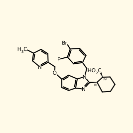 Cc1ccc(COc2ccc3nc([C@@H]4CCCC[C@@H]4C(=O)O)n(Cc4ccc(Br)c(F)c4)c3c2)nc1